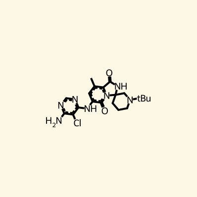 Cc1cc(Nc2ncnc(N)c2Cl)c(=O)n2c1C(=O)NC21CCCN(C(C)(C)C)C1